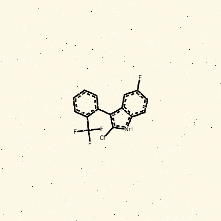 Fc1ccc2[nH]c(Cl)c(-c3ccccc3C(F)(F)F)c2c1